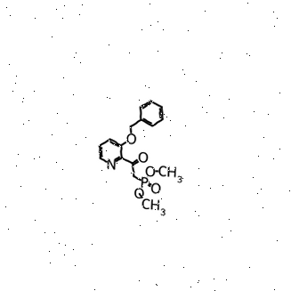 COP(=O)(CC(=O)c1ncccc1OCc1ccccc1)OC